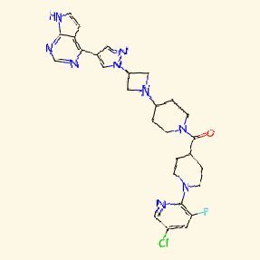 O=C(C1CCN(c2ncc(Cl)cc2F)CC1)N1CCC(N2CC(n3cc(-c4ncnc5[nH]ccc45)cn3)C2)CC1